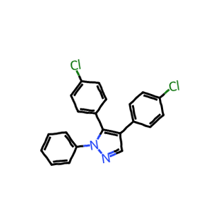 Clc1ccc(-c2cnn(-c3ccccc3)c2-c2ccc(Cl)cc2)cc1